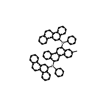 Cc1ccc2c(c1)c(N(c1ccccc1)c1cc3c4ccccc4ccc3c3ccccc13)cc1c3ccccc3c(N(c3ccccc3)c3cc4c5ccccc5ccc4c4ccccc34)cc21